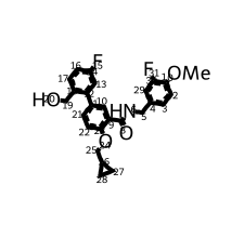 COc1ccc(CNC(=O)c2cc(-c3cc(F)ccc3CO)ccc2OCC2CC2)cc1F